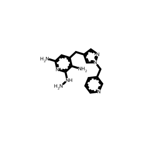 NNc1nc(N)cc(Cc2cnn(Cc3cccnc3)c2)c1N